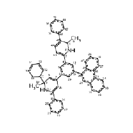 CC1NC(c2cc(C3=CC(C)(C4C=CC=CC4)NC(c4ccccc4)=C3)cc(-c3cc4ccccc4c4ccccc34)c2)=CC=C1c1ccccc1